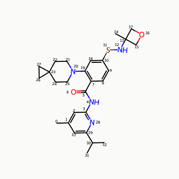 Cc1cc(NC(=O)c2ccc(SNC3(C)COC3)cc2N2CCC3(CC2)CC3)nc(C(C)C)c1